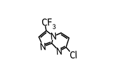 FC(F)(F)c1cnc2nc(Cl)ccn12